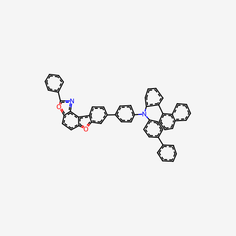 c1ccc(-c2ccc(N(c3ccc(-c4ccc5c(c4)oc4ccc6oc(-c7ccccc7)nc6c45)cc3)c3ccccc3-c3cccc4ccccc34)cc2)cc1